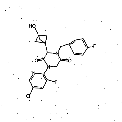 O=C1C(C23CC(O)(C2)C3)N(Cc2ccc(F)cc2)C(=O)CN1c1ncc(Cl)cc1F